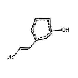 CC(=O)C=Cc1cccc(O)c1